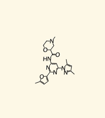 Cc1cc(C)n(-c2cc(NC(=O)C3CN(C)CCO3)nc(-c3ccc(C)o3)n2)n1